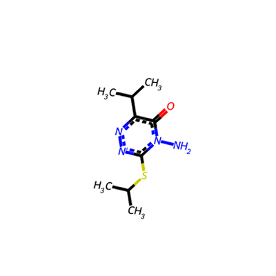 CC(C)Sc1nnc(C(C)C)c(=O)n1N